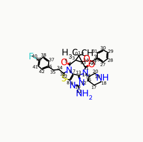 CC1(C)C2C(=O)N3c4c(nc(N)nc4N(C4CCCNC4)C(=O)C21OCc1ccccc1)SC3CCc1ccc(F)cc1